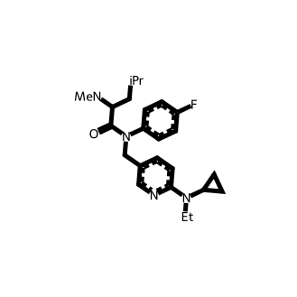 CCN(c1ccc(CN(C(=O)C(CC(C)C)NC)c2ccc(F)cc2)cn1)C1CC1